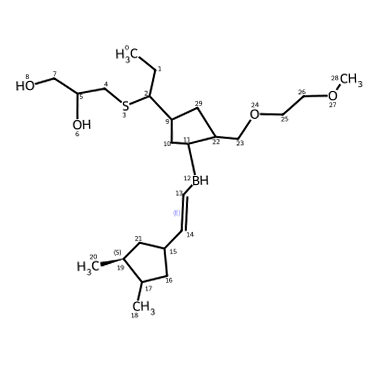 CCC(SCC(O)CO)C1CC(B/C=C/C2CC(C)[C@@H](C)C2)C(COCCOC)C1